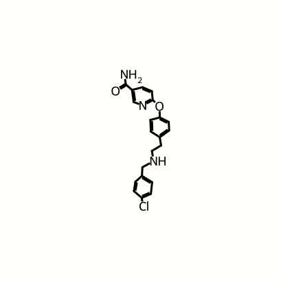 NC(=O)c1ccc(Oc2ccc(CCNCc3ccc(Cl)cc3)cc2)nc1